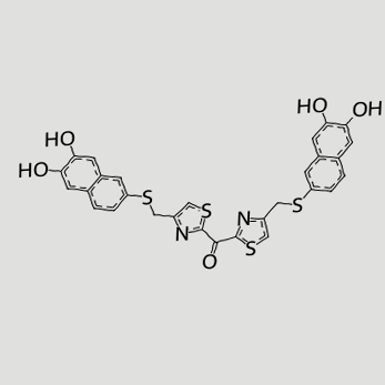 O=C(c1nc(CSc2ccc3cc(O)c(O)cc3c2)cs1)c1nc(CSc2ccc3cc(O)c(O)cc3c2)cs1